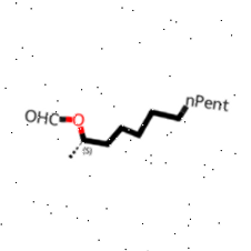 CCCCCCCCCC[C@H](C)OC=O